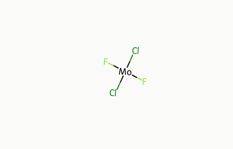 [F][Mo]([F])([Cl])[Cl]